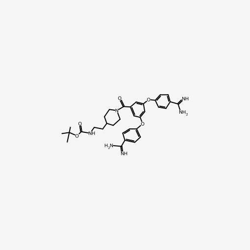 CC(C)(C)OC(=O)NCCC1CCN(C(=O)c2cc(Oc3ccc(C(=N)N)cc3)cc(Oc3ccc(C(=N)N)cc3)c2)CC1